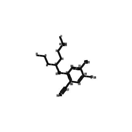 CCCC(CCNC)Oc1cc(Cl)c(F)cc1C#N